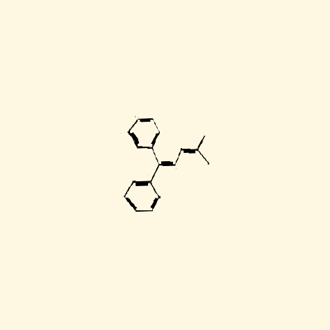 CC(C)=CC=C(c1ccccc1)c1ccccc1